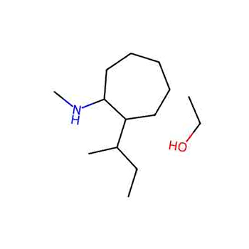 CCC(C)C1CCCCCC1NC.CCO